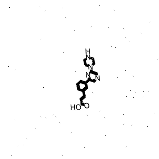 O=C(O)/C=C/c1cccc(-c2cncc(N3CCNCC3)n2)c1